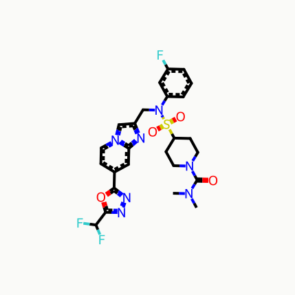 CN(C)C(=O)N1CCC(S(=O)(=O)N(Cc2cn3ccc(-c4nnc(C(F)F)o4)cc3n2)c2cccc(F)c2)CC1